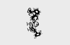 O=C1OC2(CCN(C(=O)Nc3cc(-c4ccccc4)[nH]n3)CC2)c2ccccc21